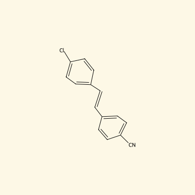 N#Cc1ccc(/C=C/c2ccc(Cl)cc2)cc1